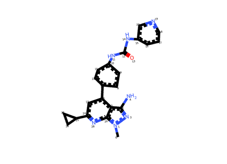 Cn1nc(N)c2c(-c3ccc(NC(=O)Nc4cccnc4)cc3)cc(C3CC3)nc21